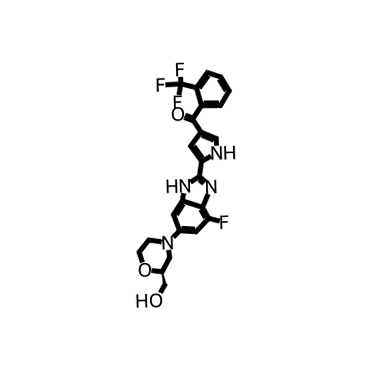 O=C(c1c[nH]c(-c2nc3c(F)cc(N4CCO[C@H](CO)C4)cc3[nH]2)c1)c1ccccc1C(F)(F)F